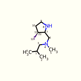 CC(C)CN(C)CC1NCC[C@@H]1I